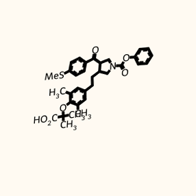 CSc1ccc(C(=O)C2CN(C(=O)Oc3ccccc3)CC2CCc2cc(C)c(OC(C)(C)C(=O)O)c(C)c2)cc1